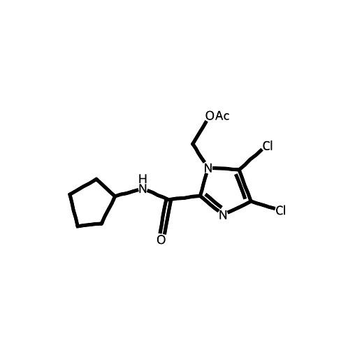 CC(=O)OCn1c(C(=O)NC2CCCC2)nc(Cl)c1Cl